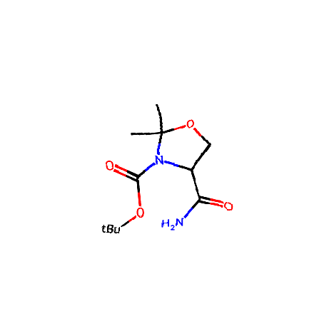 CC(C)(C)OC(=O)N1C(C(N)=O)COC1(C)C